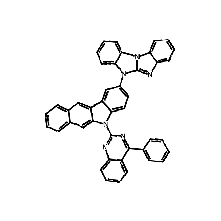 c1ccc(-c2nc(-n3c4ccc(-n5c6ccccc6n6c7ccccc7nc56)cc4c4cc5ccccc5cc43)nc3ccccc23)cc1